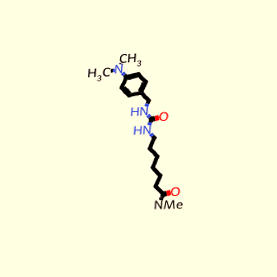 CNC(=O)CCCCCCNC(=O)NCc1ccc(N(C)C)cc1